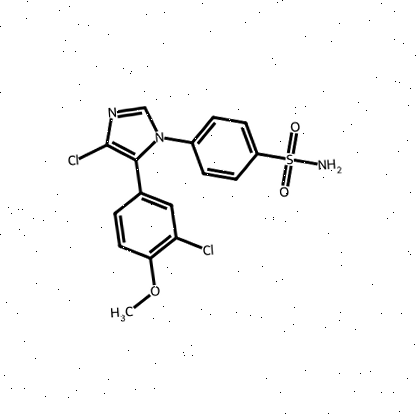 COc1ccc(-c2c(Cl)ncn2-c2ccc(S(N)(=O)=O)cc2)cc1Cl